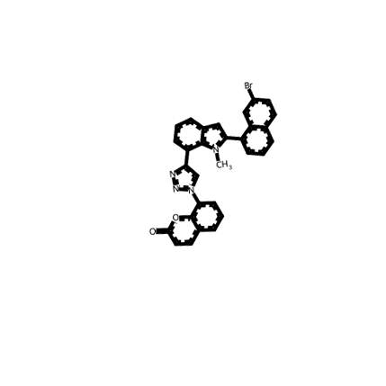 Cn1c(-c2cccc3ccc(Br)cc23)cc2cccc(-c3cn(-c4cccc5ccc(=O)oc45)nn3)c21